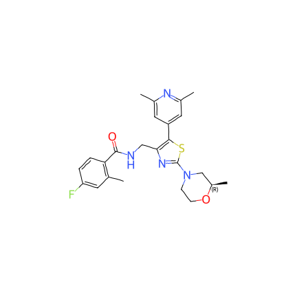 Cc1cc(-c2sc(N3CCO[C@H](C)C3)nc2CNC(=O)c2ccc(F)cc2C)cc(C)n1